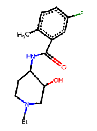 CCN1CCC(NC(=O)c2cc(F)ccc2C)C(O)C1